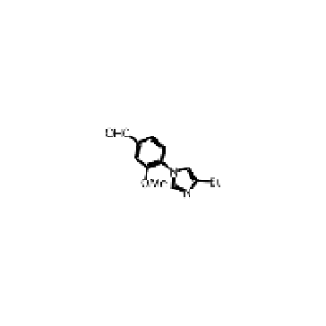 CCc1cn(-c2ccc(C=O)cc2OC)cn1